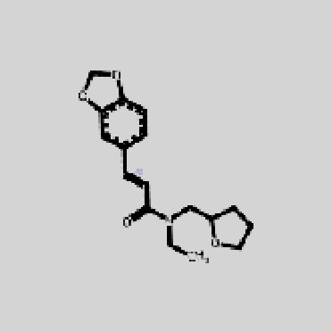 CCN(CC1CCCO1)C(=O)/C=C/c1ccc2c(c1)OCO2